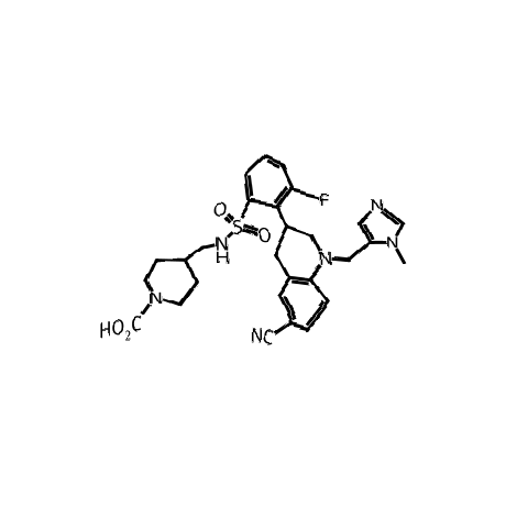 Cn1cncc1CN1CC(c2c(F)cccc2S(=O)(=O)NCC2CCN(C(=O)O)CC2)Cc2cc(C#N)ccc21